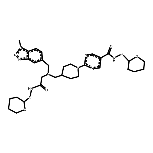 Cn1nnc2cc(CN(CC(=O)NOC3CCCCO3)CC3CCN(c4ncc(C(=O)NOC5CCCCO5)cn4)CC3)ccc21